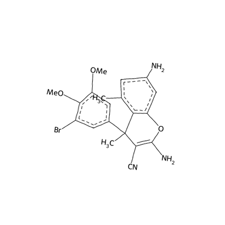 COc1cc(C2(C)C(C#N)=C(N)Oc3cc(N)cc(C)c32)cc(Br)c1OC